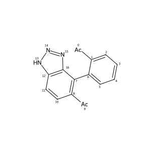 CC(=O)c1ccccc1-c1c(C(C)=O)ccc2[nH]nnc12